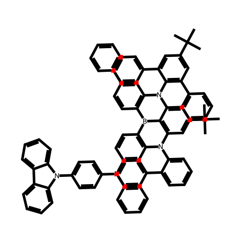 CC(C)(C)c1cc(-c2ccccc2)c(N2c3cc(-c4ccccc4)ccc3B3c4ccc(N(c5ccccc5)c5ccc(-n6c7ccccc7c7ccccc76)cc5)cc4N(c4ccccc4-c4ccccc4)c4cc(C(C)(C)C)cc2c43)c(-c2ccccc2)c1